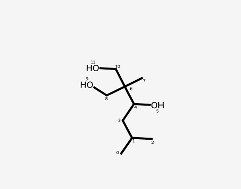 CC(C)CC(O)C(C)(CO)CO